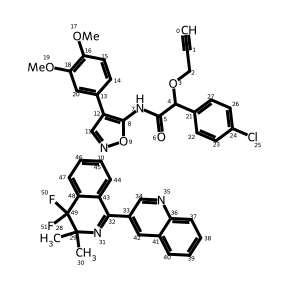 C#CCOC(C(=O)Nc1oncc1-c1ccc(OC)c(OC)c1)c1ccc(Cl)cc1.CC1(C)N=C(c2cnc3ccccc3c2)c2ccccc2C1(F)F